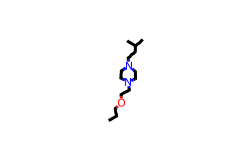 CCCOCCN1CCN(CCC(C)C)CC1